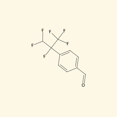 O=Cc1ccc(C(F)(C(F)F)C(F)(F)F)cc1